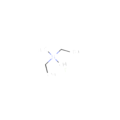 CC(C)(C)C[N+](C)(C)CC(C)(C)C.[F-]